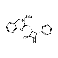 CC(C)(C)N(Cc1ccccc1)C(=O)C[C@H]1C(=O)N[C@H]1c1ccccc1